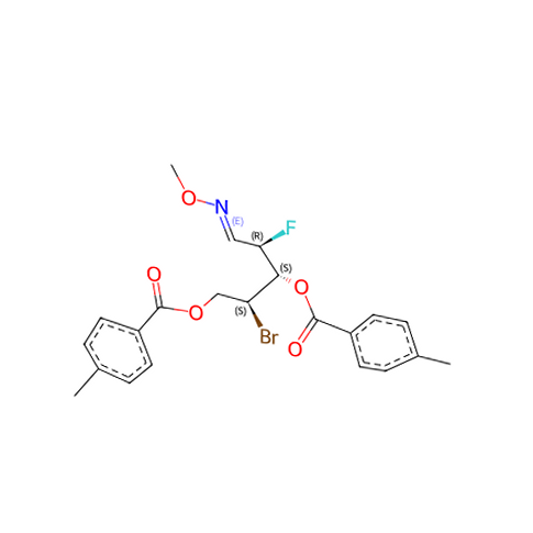 CO/N=C/[C@@H](F)[C@H](OC(=O)c1ccc(C)cc1)[C@@H](Br)COC(=O)c1ccc(C)cc1